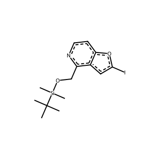 CC(C)(C)[Si](C)(C)OCc1nccc2oc(I)cc12